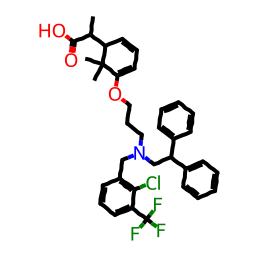 CC(C(=O)O)C1C=CC=C(OCCCN(Cc2cccc(C(F)(F)F)c2Cl)CC(c2ccccc2)c2ccccc2)C1(C)C